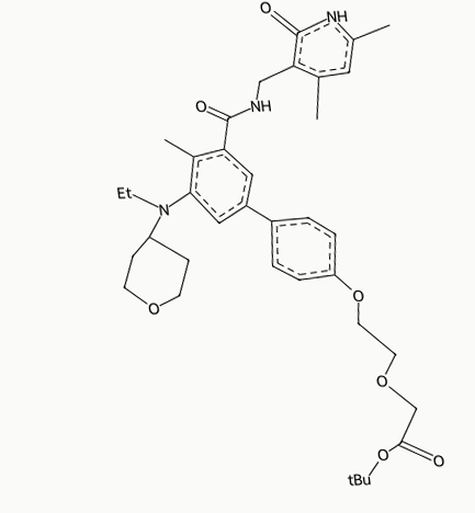 CCN(c1cc(-c2ccc(OCCOCC(=O)OC(C)(C)C)cc2)cc(C(=O)NCc2c(C)cc(C)[nH]c2=O)c1C)C1CCOCC1